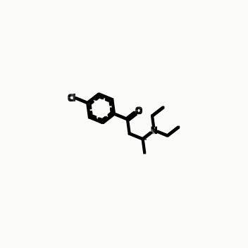 CCN(CC)[C](C)CC(=O)c1ccc(Cl)cc1